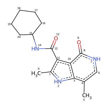 Cc1[nH]c2c(C)c[nH]c(=O)c2c1C(=O)NC1CCCCC1